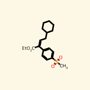 CCOC(=O)C(=CCC1CCCCC1)c1ccc(S(C)(=O)=O)cc1